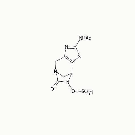 CC(=O)Nc1nc2c(s1)C1CN(C2)C(=O)N1OS(=O)(=O)O